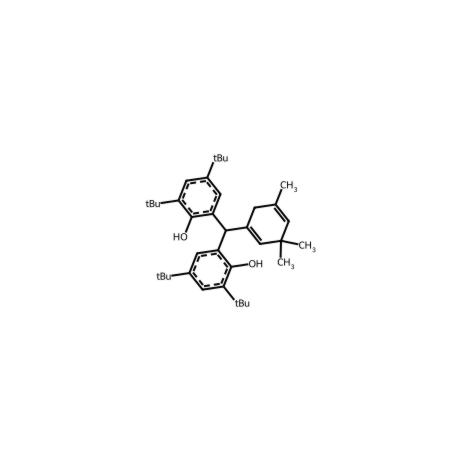 CC1=CC(C)(C)C=C(C(c2cc(C(C)(C)C)cc(C(C)(C)C)c2O)c2cc(C(C)(C)C)cc(C(C)(C)C)c2O)C1